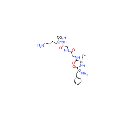 CC(C)C[C@H](NC(=O)[C@@H](N)Cc1ccccc1)C(=O)NCC(=O)NCC(=O)N[C@@H](CCCCN)C(=O)O